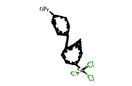 CCCc1ccc(-c2ccc([Si](Cl)(Cl)Cl)cc2)cc1